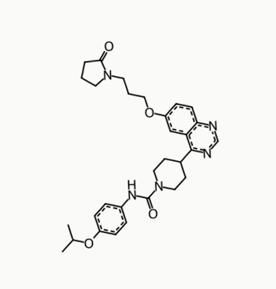 CC(C)Oc1ccc(NC(=O)N2CCC(c3ncnc4ccc(OCCCN5CCCC5=O)cc34)CC2)cc1